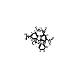 CN(C)c1cc(N(C)C)cc([Si](Cl)(c2ccccc2)c2cc(N(C)C)cc(N(C)C)c2)c1